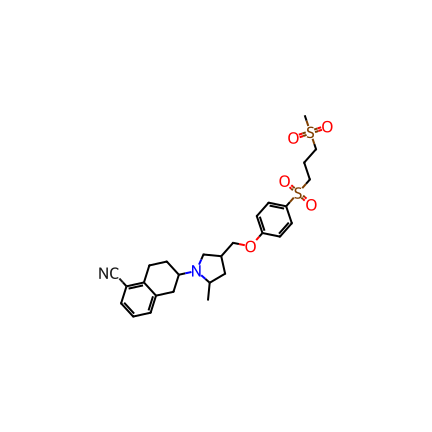 CC1CC(COc2ccc(S(=O)(=O)CCCS(C)(=O)=O)cc2)CN1C1CCc2c(C#N)cccc2C1